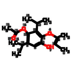 CC=C(C)Oc1c(O)cc(C(C)C)c(OC(C)=O)c1C(C)C